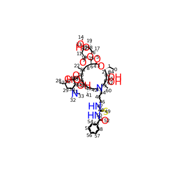 CC[C@H]1OC(=O)[C@H](C)[C@@H](O[C@@H](CCOC)O[C@@H](C)[C@@H](C)O)[C@H](C)[C@@H](O[C@@H]2O[C@H](C)C[C@H](N(C)C)[C@H]2O)[C@](C)(O)C[C@@H](C)CN(CCCNC(=S)NC(=O)c2ccccc2)[C@H](C)[C@@H](O)[C@]1(C)O